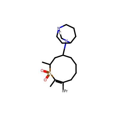 CCC/C1=C(\C)S(=O)(=O)C(C)CC(N2CCN3CCCC2CC3)CCCC1